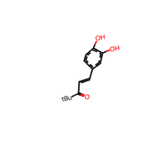 CC(C)(C)C(=O)/C=C/c1ccc(O)c(O)c1